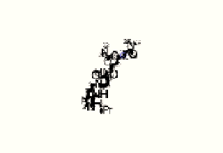 CC(C)Cc1ncnc2cc(Cn3cccc(NC(=O)[C@H](CC/C=C/C(=O)N(C)C)OC(=O)N(C)C)c3=O)[nH]c12